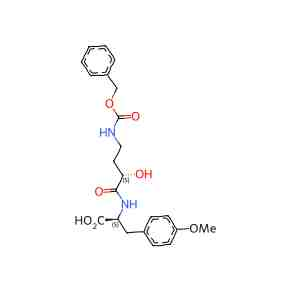 COc1ccc(C[C@H](NC(=O)[C@@H](O)CCNC(=O)OCc2ccccc2)C(=O)O)cc1